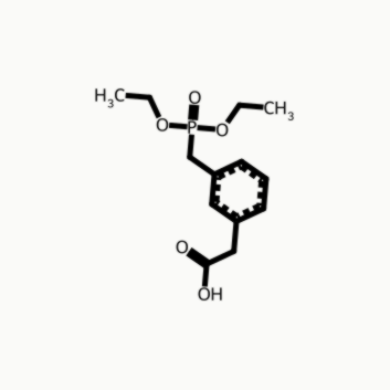 CCOP(=O)(Cc1cccc(CC(=O)O)c1)OCC